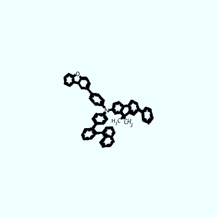 CC1(C)c2cc(-c3ccccc3)ccc2-c2ccc(N(c3ccc(C4=CC=C5Oc6ccccc6C5C4)cc3)c3ccc(-c4ccccc4-c4cccc5ccccc45)cc3)cc21